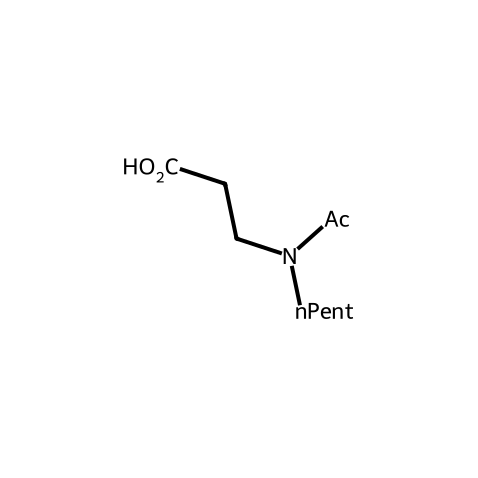 CCCCCN(CCC(=O)O)C(C)=O